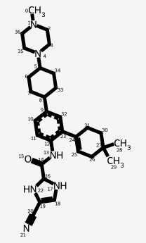 CN1CCN(C2CCC(c3ccc(NC(=O)C4NC=C(C#N)N4)c(C4=CCC(C)(C)CC4)c3)CC2)CC1